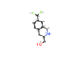 OCC1Cc2ccc(C(F)F)cc2CN1